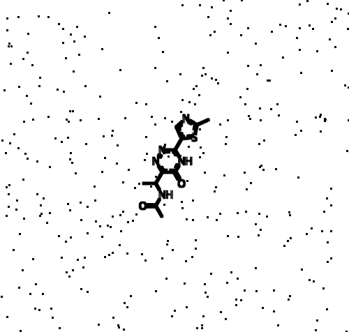 CC(=O)NC(C)c1nnc(-c2cnc(C)s2)[nH]c1=O